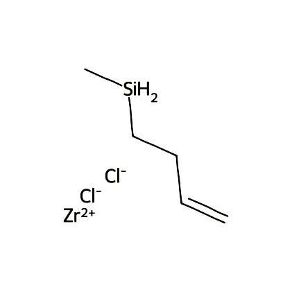 C=CCC[SiH2]C.[Cl-].[Cl-].[Zr+2]